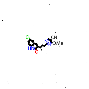 COc1nc(CC[C@@H](C)c2cc3cc(Cl)ccc3[nH]c2=O)ncc1C#N